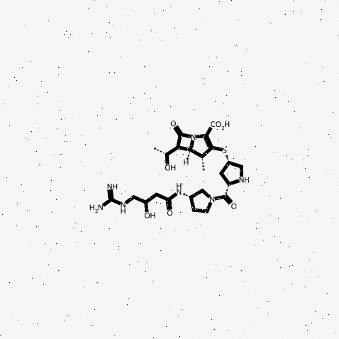 C[C@@H](O)C1C(=O)N2C(C(=O)O)=C(S[C@@H]3CN[C@H](C(=O)N4CC[C@H](NC(=O)CC(O)CNC(=N)N)C4)C3)[C@H](C)[C@@H]12